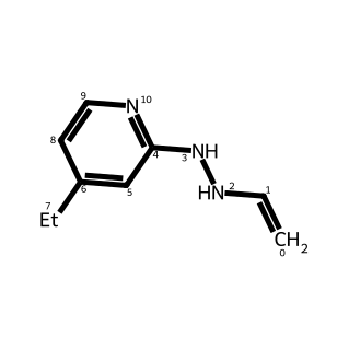 C=CNNc1cc(CC)ccn1